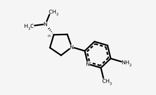 Cc1nc(N2CC[C@H](N(C)C)C2)ccc1N